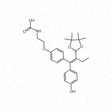 CCC(B1OC(C)(C)C(C)(C)O1)=C(c1ccc(O)cc1)c1ccc(OCCNC(=O)O)cc1